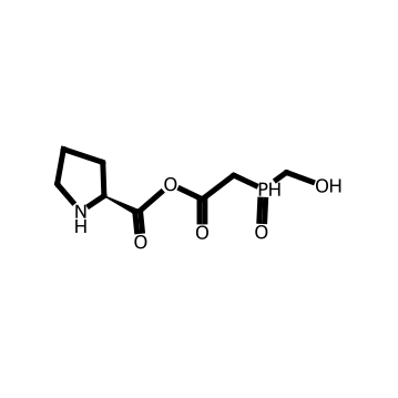 O=C(C[PH](=O)CO)OC(=O)[C@@H]1CCCN1